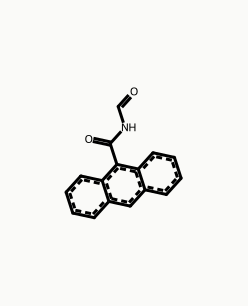 O=CNC(=O)c1c2ccccc2cc2ccccc12